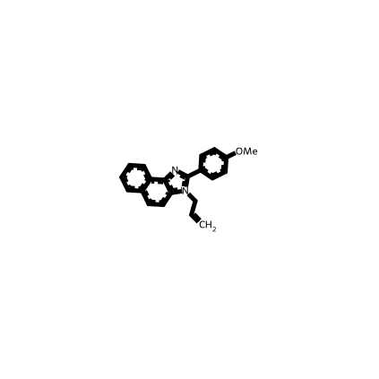 C=CCn1c(-c2ccc(OC)cc2)nc2c3ccccc3ccc21